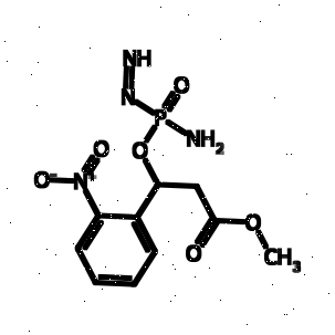 COC(=O)CC(OP(N)(=O)N=N)c1ccccc1[N+](=O)[O-]